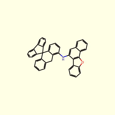 c1ccc2c(c1)Cc1c(Nc3cc4ccccc4c4oc5ccccc5c34)cccc1C21c2ccccc2-c2ccccc21